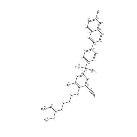 COC(CCCCOc1c(Cl)cc(C(C)(C)c2ccc(-c3ccc4nc(Br)ncc4c3)cc2)cc1C#N)OC